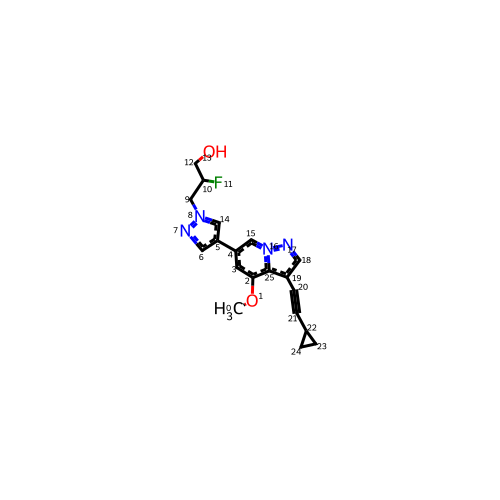 COc1cc(-c2cnn(CC(F)CO)c2)cn2ncc(C#CC3CC3)c12